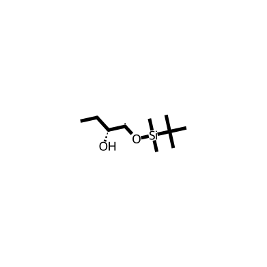 CC[C@@H](O)[CH]O[Si](C)(C)C(C)(C)C